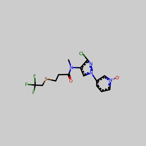 CN(C(=O)CCSCC(F)(F)F)c1cn(-c2ccc[n+]([O-])c2)nc1Cl